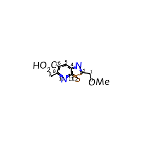 COCc1nc2cc(C(=O)O)c(C)nc2s1